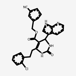 N#Cc1cccc(COC(=O)C2=C(CCc3ccccc3Cl)NC(=O)NC2c2c[nH]c3ncccc23)c1